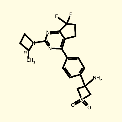 C[C@H]1CCN1c1nc(-c2ccc(C3(N)CS(=O)(=O)C3)cc2)c2c(n1)C(F)(F)CC2